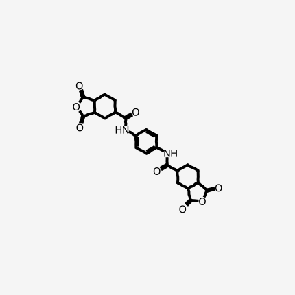 O=C(Nc1ccc(NC(=O)C2CCC3C(=O)OC(=O)C3C2)cc1)C1CCC2C(=O)OC(=O)C2C1